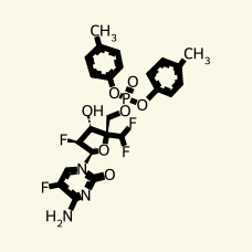 Cc1ccc(OP(=O)(OC[C@@]2(C(F)F)O[C@@H](n3cc(F)c(N)nc3=O)[C@@H](F)[C@@H]2O)Oc2ccc(C)cc2)cc1